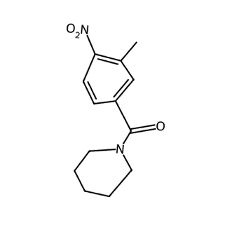 Cc1cc(C(=O)N2CCCCC2)ccc1[N+](=O)[O-]